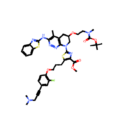 COC(=O)c1nc(N2CC(OCCN(C)C(=O)OC(C)(C)C)Cc3c2nnc(Nc2nc4ccccc4s2)c3C)sc1CCCOc1ccc(C#CCN(C)C)cc1F